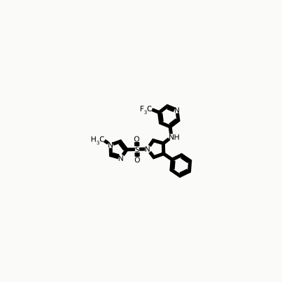 Cn1cnc(S(=O)(=O)N2CC(Nc3cncc(C(F)(F)F)c3)C(c3ccccc3)C2)c1